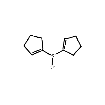 [O-][S+](C1=CCCC1)C1=CCCC1